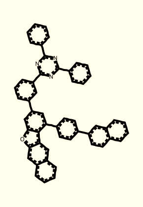 c1ccc(-c2nc(-c3ccccc3)nc(-c3cccc(-c4cc(-c5ccc(-c6ccc7ccccc7c6)cc5)c5c(c4)oc4cc6ccccc6cc45)c3)n2)cc1